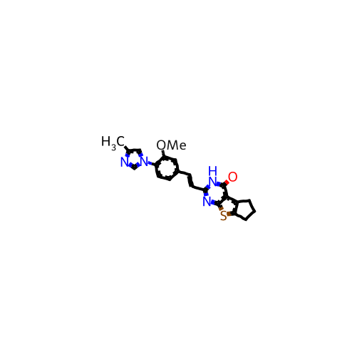 COc1cc(/C=C/c2nc3sc4c(c3c(=O)[nH]2)CCC4)ccc1-n1cnc(C)c1